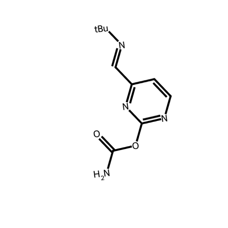 CC(C)(C)N=Cc1ccnc(OC(N)=O)n1